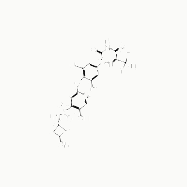 [2H]C(F)(F)c1nn(-c2cc(Cl)c(Oc3cc(S(=O)(=O)NC4CC(O)C4)c(O)cn3)c(Cl)c2)c(=O)[nH]c1=O